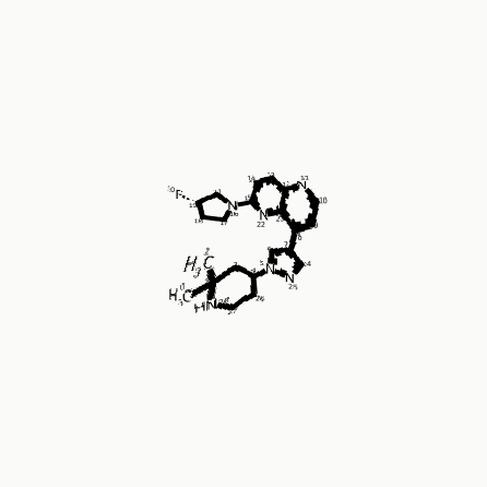 CC1(C)CC(n2cc(-c3ccnc4ccc(N5CC[C@H](F)C5)nc34)cn2)CCN1